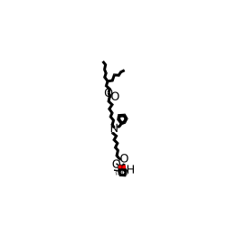 CCCCCC(CCCCC)CCOC(=O)CCCCCCCN(CCCCCCCC(=O)O[C@H]1C[C@@H]2CC[C@@]1(C)C2(C)C)Cc1ccccc1